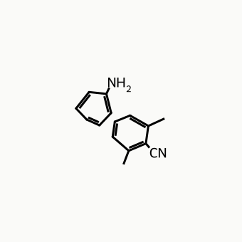 Cc1cccc(C)c1C#N.Nc1ccccc1